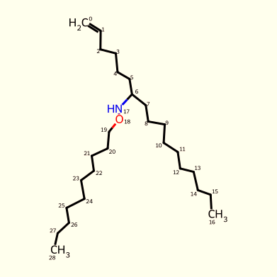 C=CCCCCC(CCCCCCCCCC)NOCCCCCCCCCC